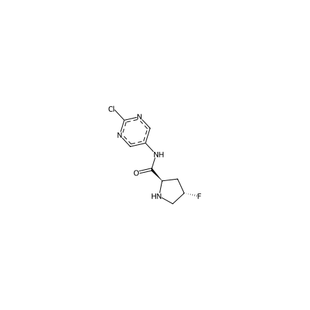 O=C(Nc1cnc(Cl)nc1)[C@H]1C[C@H](F)CN1